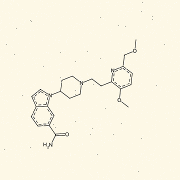 COCc1ccc(OC)c(CCN2CCC(n3ccc4ccc(C(N)=O)cc43)CC2)n1